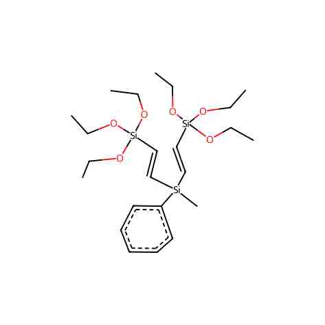 CCO[Si](C=C[Si](C)(C=C[Si](OCC)(OCC)OCC)c1ccccc1)(OCC)OCC